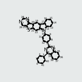 c1ccc(-c2nc(-c3ccc(-n4c5ccccc5c5cc6c(cc54)sc4cncnc46)cc3)nc3ccccc23)cc1